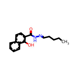 CCCCC=NNC(=O)c1ccc2ccccc2c1O